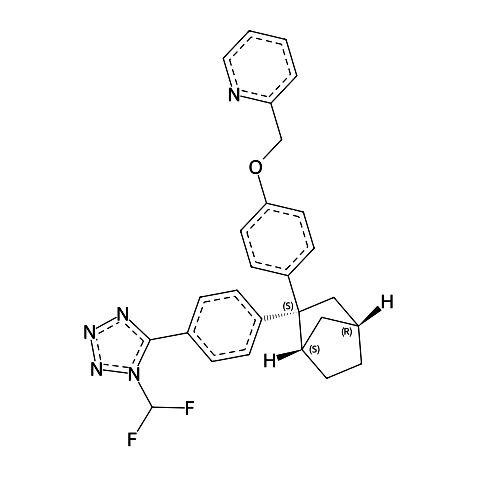 FC(F)n1nnnc1-c1ccc([C@]2(c3ccc(OCc4ccccn4)cc3)C[C@@H]3CC[C@H]2C3)cc1